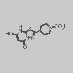 O=C(O)N1CCC(C2=NN3C(=O)C=C(O)NC3S2)CC1